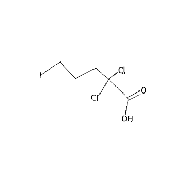 O=C(O)C(Cl)(Cl)CCCI